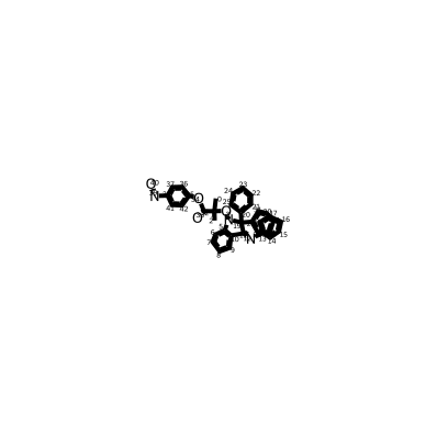 CC(C)(ON1c2ccccc2/C(=N/c2ccccc2)C1(c1ccccc1)c1ccccc1)C(=O)Oc1ccc(N=O)cc1